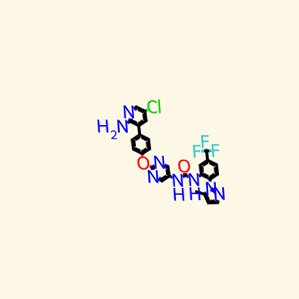 Cc1ccnn1-c1ccc(C(F)(F)F)cc1NC(=O)Nc1cnc(Oc2ccc(-c3cc(Cl)cnc3N)cc2)nc1